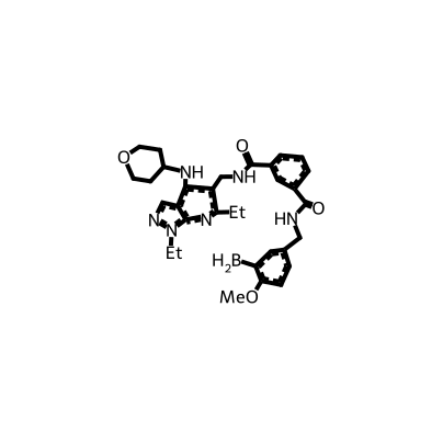 Bc1cc(CNC(=O)c2cccc(C(=O)NCc3c(CC)nc4c(cnn4CC)c3NC3CCOCC3)c2)ccc1OC